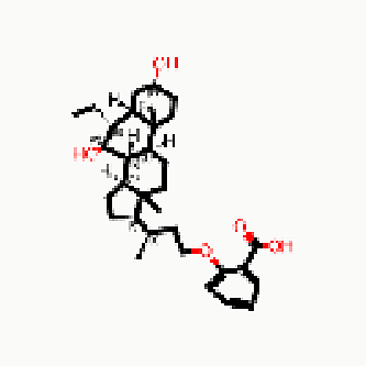 CC[C@H]1[C@@H](O)[C@H]2[C@@H]3CC[C@H]([C@H](C)CCOc4ccccc4C(=O)O)C3(C)CC[C@@H]2C2(C)CC[C@@H](O)C[C@@H]12